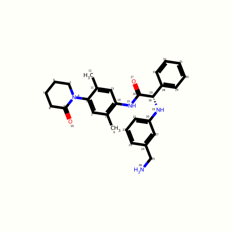 Cc1cc(N2CCCCC2=O)c(C)cc1NC(=O)[C@@H](Nc1cccc(CN)c1)c1ccccc1